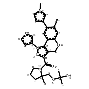 CCc1cc2c(cc1-c1ccn(C)c1)-c1c(c(C(=O)N3CCCC3(C)COC(C)(C)O)nn1-c1ccsc1)CO2